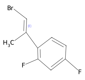 C/C(=C\Br)c1ccc(F)cc1F